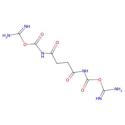 N=C(N)OC(=O)NC(=O)CCC(=O)NC(=O)OC(=N)N